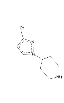 CC(C)c1ccn(C2CCNCC2)n1